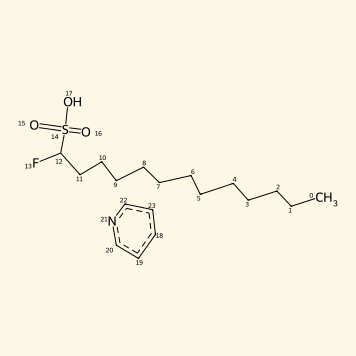 CCCCCCCCCCCCC(F)S(=O)(=O)O.c1ccncc1